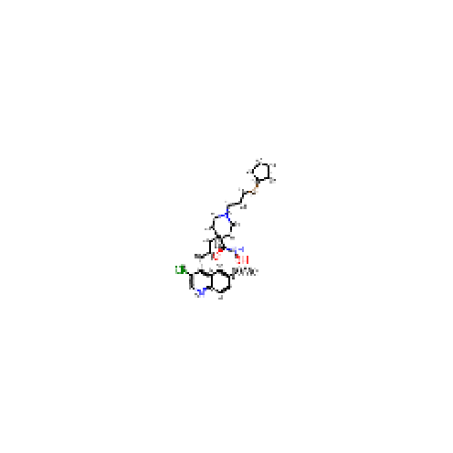 COc1ccc2ncc(Cl)c(CCCC3(C(=O)NO)CCN(CCCSC4CCCC4)CC3)c2c1